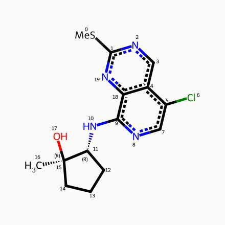 CSc1ncc2c(Cl)cnc(N[C@@H]3CCC[C@@]3(C)O)c2n1